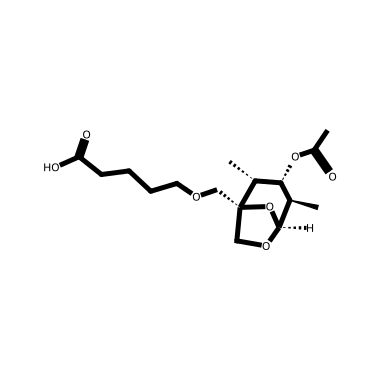 CC(=O)O[C@@H]1[C@@H](C)[C@H]2OC[C@](COCCCCC(=O)O)(O2)[C@@H]1C